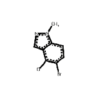 Cn1ncc2c(Cl)c(Br)ccc21